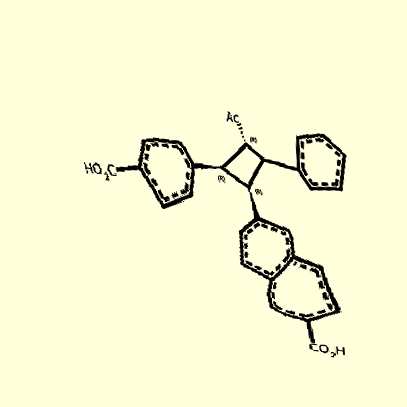 CC(=O)[C@@H]1C(c2ccccc2)[C@@H](c2ccc3cc(C(=O)O)ccc3c2)[C@H]1c1ccc(C(=O)O)cc1